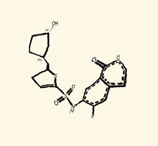 O=c1[nH]ccc2cc(F)c(NS(=O)(=O)C3=CCC([C@H]4CC[C@H](O)C4)S3)cc12